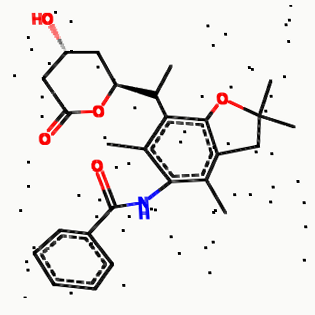 Cc1c2c(c(C(C)[C@@H]3C[C@@H](O)CC(=O)O3)c(C)c1NC(=O)c1ccccc1)OC(C)(C)C2